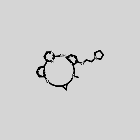 CN1Cc2cc(ccc2OCCN2CCCC2)Nc2nccc(n2)-c2cccc(c2)OCCC2CC2C1